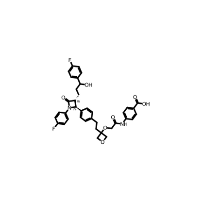 O=C(COC1(CCc2ccc([C@@H]3[C@@H](CCC(O)c4ccc(F)cc4)C(=O)N3c3ccc(F)cc3)cc2)COC1)Nc1ccc(C(=O)O)cc1